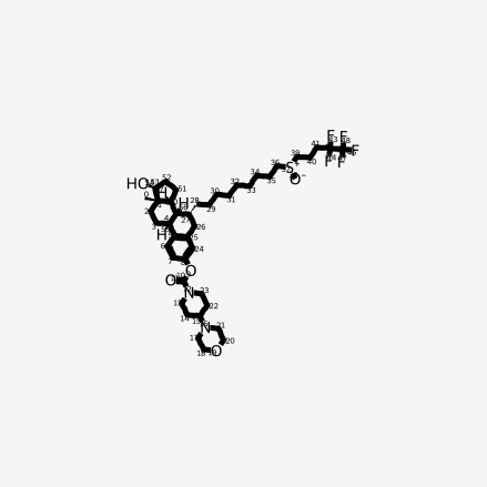 C[C@]12CC[C@@H]3c4ccc(OC(=O)N5CCC(N6CCOCC6)CC5)cc4C[C@@H](CCCCCCCCC[S+]([O-])CCCC(F)(F)C(F)(F)F)[C@H]3[C@@H]1CC[C@@H]2O